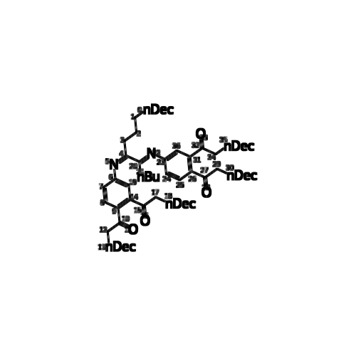 CCCCCCCCCCCCCC(=Nc1ccc(C(=O)CCCCCCCCCCC)c(C(=O)CCCCCCCCCCC)c1)C(CCCC)=Nc1ccc(C(=O)CCCCCCCCCCC)c(C(=O)CCCCCCCCCCC)c1